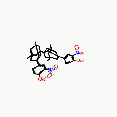 CC12CC3(C)CC(c4ccc(O)c([N+](=O)[O-])c4)(C1)CC(C14CC5(C)CC(C)(CC(c6ccc(O)c([N+](=O)[O-])c6)(C5)C1)C4)(C2)C3